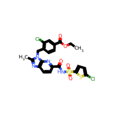 CCOC(=O)c1ccc(Cn2c(C)nc3ccc(C(=O)NS(=O)(=O)c4ccc(Cl)s4)nc32)c(Cl)c1